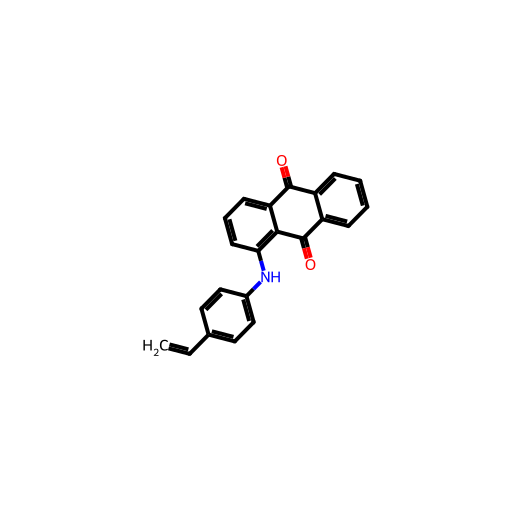 C=Cc1ccc(Nc2cccc3c2C(=O)c2ccccc2C3=O)cc1